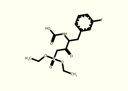 CCOP(=O)(CC(=O)C(Cc1cccc(F)c1)NC(=O)O)OCC